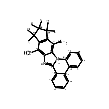 Bc1c2c(c(B)c3c1nc1c4ccccc4c4ccccc4n13)C(C)(C)C(C)(C)C2(C)C